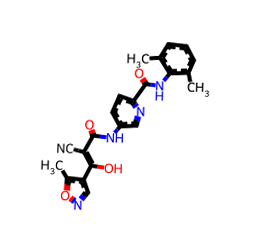 Cc1cccc(C)c1NC(=O)c1ccc(NC(=O)C(C#N)=C(O)c2cnoc2C)cn1